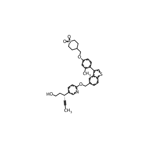 CC#C[C@H](CCO)c1ccc(OCc2ccc3scc(-c4ccc(OCC5CCS(=O)(=O)CC5)cc4C)c3c2)nc1